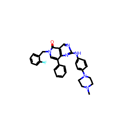 CN1CCN(c2ccc(Nc3ncc4c(=O)n(Cc5ccccc5F)cc(-c5ccccc5)c4n3)cc2)CC1